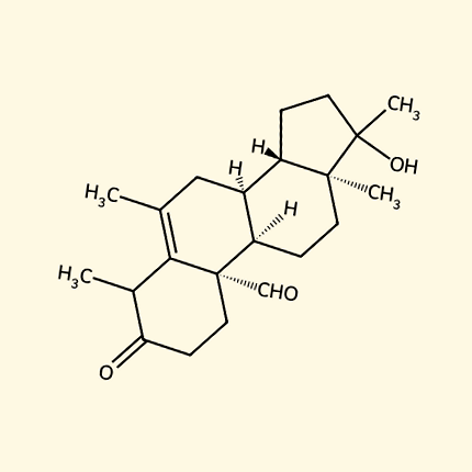 CC1=C2C(C)C(=O)CC[C@]2(C=O)[C@@H]2CC[C@@]3(C)[C@@H](CCC3(C)O)[C@@H]2C1